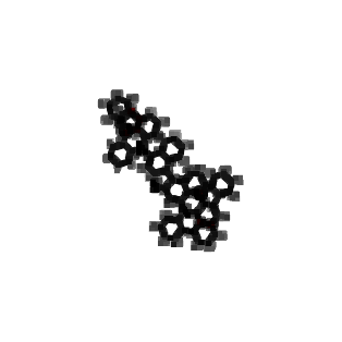 c1ccc(-c2ccccc2N(c2cc3sc4cc(N(c5ccccc5-c5ccccc5)c5cccc6c5oc5ccccc56)c5ccccc5c4c3c3ccccc23)c2cccc3c2oc2ccccc23)cc1